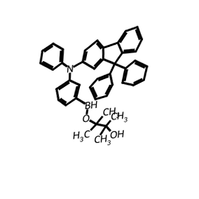 CC(C)(O)C(C)(C)OBc1cccc(N(c2ccccc2)c2ccc3c(c2)C(c2ccccc2)(c2ccccc2)c2ccccc2-3)c1